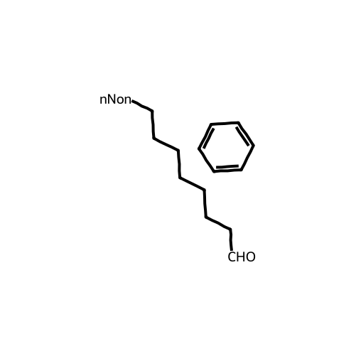 CCCCCCCCCCCCCCCCC=O.c1ccccc1